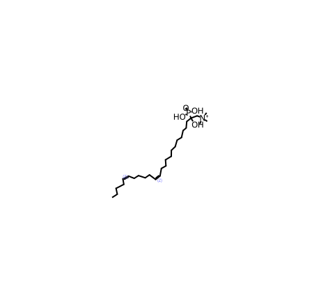 CCCC/C=C\CCCC/C=C\CCCCCCCCCCCC(O)(C[N+](C)(C)C)P(=O)(O)O